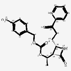 C[C@@H](OC(=O)OCc1ccc([N+](=O)[O-])cc1)[C@H]1C(=O)N[C@H]1CCC(=S)c1ccccn1